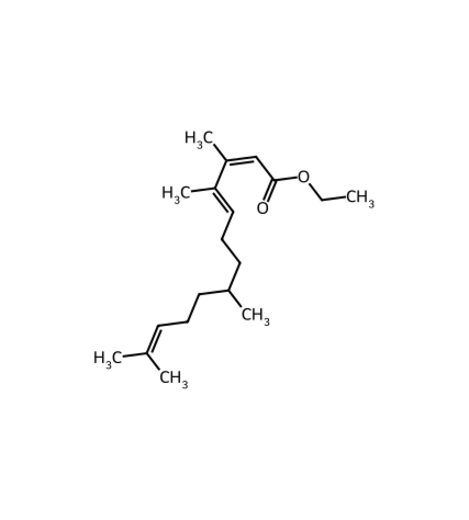 CCOC(=O)C=C(C)C(C)=CCCC(C)CCC=C(C)C